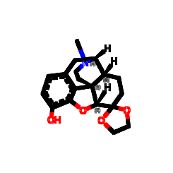 CN1CC[C@]23c4c5ccc(O)c4O[C@H]2C2(CC[C@H]3[C@H]1C5)OCCO2